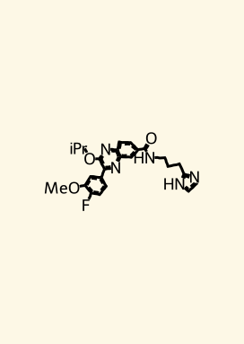 COc1cc(-c2nc3cc(C(=O)NCCCc4ncc[nH]4)ccc3nc2OC(C)C)ccc1F